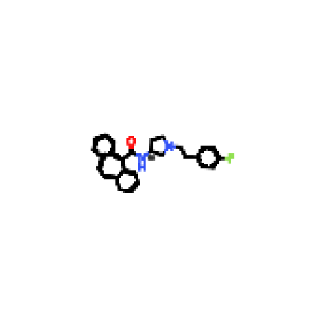 O=C(N[C@H]1CCN(CCc2ccc(F)cc2)C1)C1=c2ccccc2=CC=C2CC=CC=C21